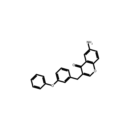 Nc1ccc2occ(Cc3cccc(Oc4ccccc4)c3)c(=O)c2c1